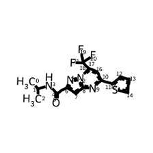 CC(C)NC(=O)c1cc2nc(-c3cccs3)cc(C(F)(F)F)n2n1